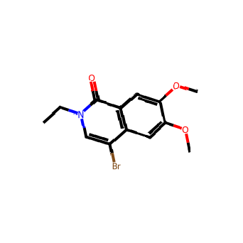 CCn1cc(Br)c2cc(OC)c(OC)cc2c1=O